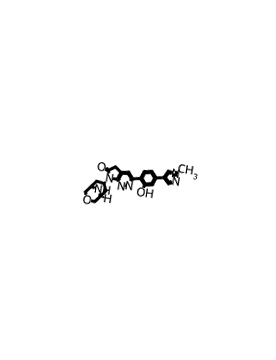 Cn1cc(-c2ccc(-c3cc4c(nn3)N([C@@H]3CC5COC[C@@H](C3)N5)C(=O)C4)c(O)c2)cn1